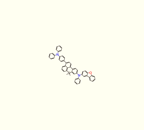 C[Si]1(C)c2cc(N(c3ccccc3)c3ccc4oc5ccccc5c4c3)ccc2-c2ccc(-c3ccc(N(c4ccccc4)c4ccccc4)cc3)c3cccc1c23